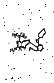 CN(C)c1nc(N)nc2nc(-c3c(F)cccc3OC3CCCC3)ccc12